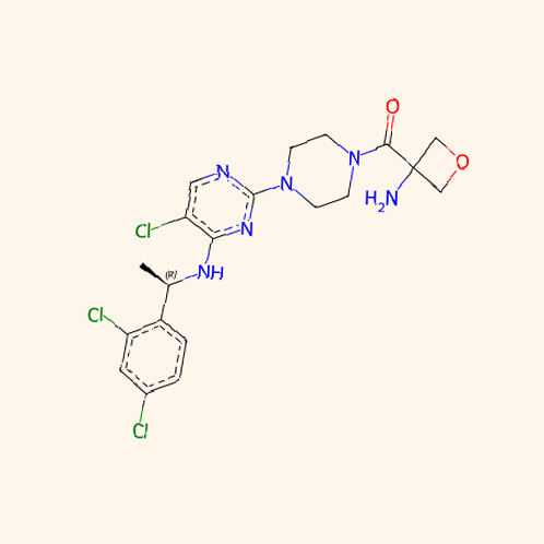 C[C@@H](Nc1nc(N2CCN(C(=O)C3(N)COC3)CC2)ncc1Cl)c1ccc(Cl)cc1Cl